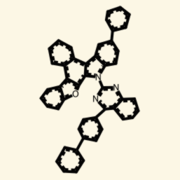 c1ccc(-c2ccc(-c3nc(-n4c5ccc(-c6ccccc6)cc5c5c6ccccc6c6c7ccccc7oc6c54)nc4ccccc34)cc2)cc1